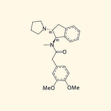 COc1ccc(CC(=O)N(C)[C@@H]2c3ccccc3C[C@H]2N2CCCC2)cc1OC